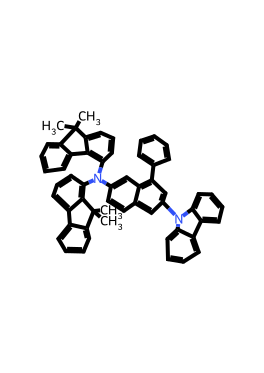 CC1(C)c2ccccc2-c2c(N(c3ccc4cc(-n5c6ccccc6c6ccccc65)cc(-c5ccccc5)c4c3)c3cccc4c3C(C)(C)c3ccccc3-4)cccc21